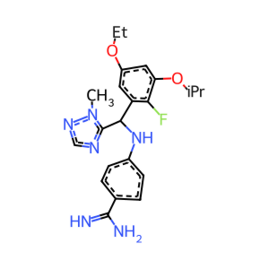 CCOc1cc(OC(C)C)c(F)c(C(Nc2ccc(C(=N)N)cc2)c2ncnn2C)c1